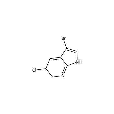 ClC1C=c2c(Br)c[nH]c2=NC1